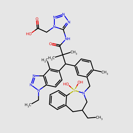 CCC1Cc2ccccc2S(O)(O)N(Cc2cc(C(c3ccc4c(nnn4CC)c3C)C(C)(C)C(=O)Nc3nnnn3CC(=O)O)ccc2C)C1